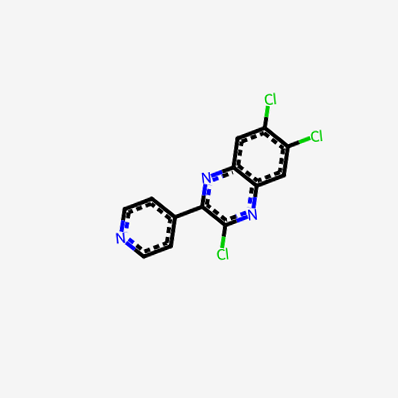 Clc1cc2nc(Cl)c(-c3ccncc3)nc2cc1Cl